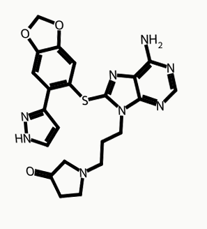 Nc1ncnc2c1nc(Sc1cc3c(cc1-c1cc[nH]n1)OCO3)n2CCCN1CCC(=O)C1